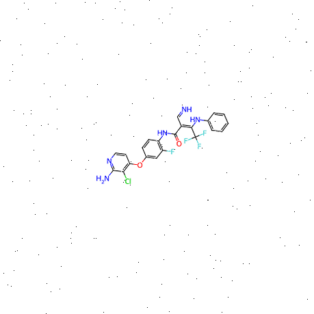 N=C/C(C(=O)Nc1ccc(Oc2ccnc(N)c2Cl)cc1F)=C(\Nc1ccccc1)C(F)(F)F